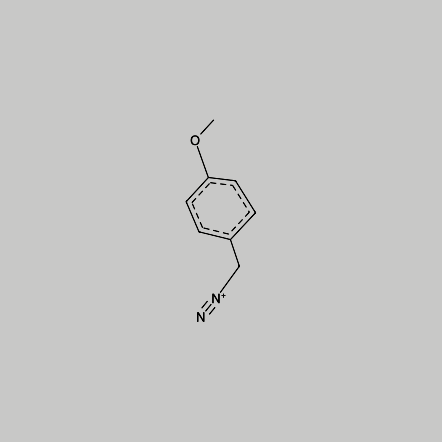 COc1ccc(C[N+]#N)cc1